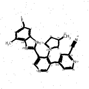 Cc1cc(F)cc2[nH]c(-c3cncc(-c4ccnc(C#N)c4)c3N3CCC(C)C3)nc12